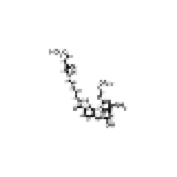 COCCOc1nc(N)c2nc(O)n(Cc3ccc(C(=O)NCCOCCn4cc(CCC(=O)O)nn4)cc3)c2n1